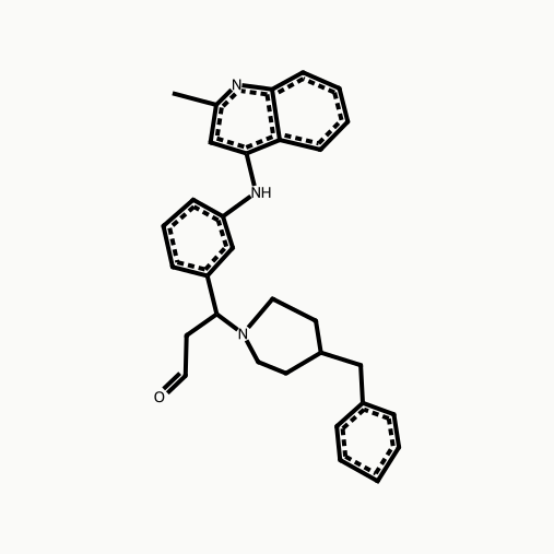 Cc1cc(Nc2cccc(C(CC=O)N3CCC(Cc4ccccc4)CC3)c2)c2ccccc2n1